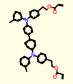 C=CC(=O)OCCc1ccc(N(c2ccc(-c3ccc(N(c4ccc(CCOC(=O)C=C)cc4)c4cccc(C)c4)cc3)cc2)c2cccc(C)c2)cc1